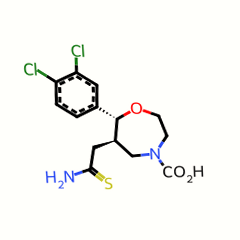 NC(=S)C[C@@H]1CN(C(=O)O)CCO[C@H]1c1ccc(Cl)c(Cl)c1